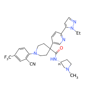 CCn1nccc1-c1ccc(C2(C(=O)N[C@@H]3CCN(C)C3)CCN(c3ccc(C(F)(F)F)cc3C#N)CC2)cn1